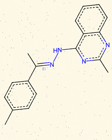 C/C(=N\Nc1nc(C)nc2ccccc12)c1ccc(C)cc1